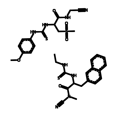 CCNC(=S)NC(Cc1ccc2ccccc2c1)C(=O)N(C)C#N.COc1ccc(NC(=S)NC(CS(C)(=O)=O)C(=O)NCC#N)cc1